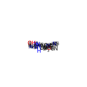 Cc1c(Nc2ncnc3cc(CN4CC[C@@H](O)C4)cnc23)cccc1-c1cccc(-c2nc3cc(CN4CCCCC4)cc(C#N)c3o2)c1C